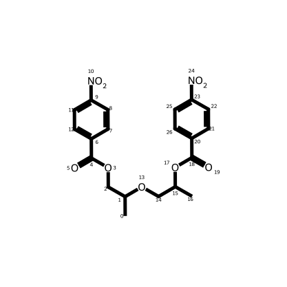 CC(COC(=O)c1ccc([N+](=O)[O-])cc1)OCC(C)OC(=O)c1ccc([N+](=O)[O-])cc1